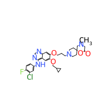 CN1CC(=O)OC2(CCN(CCCOc3cc4ncnc(Nc5ccc(F)c(Cl)c5)c4cc3OCC3CC3)CC2)C1